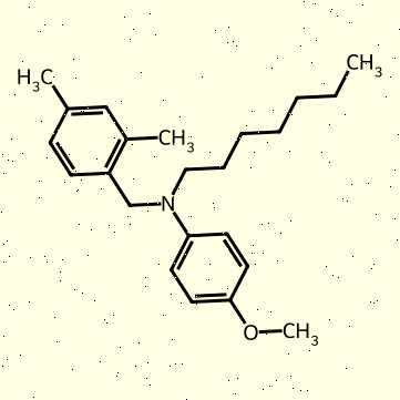 CCCCCCCN(Cc1ccc(C)cc1C)c1ccc(OC)cc1